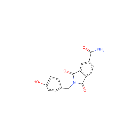 NC(=O)c1ccc2c(c1)C(=O)N(Cc1ccc(O)cc1)C2=O